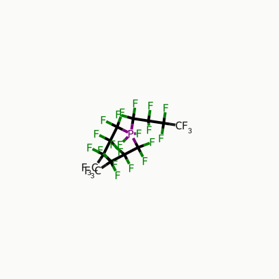 FC(F)(F)C(F)(F)C(F)(F)C(F)(F)P(F)(F)(C(F)(F)C(F)(F)C(F)(F)C(F)(F)F)C(F)(F)C(F)(F)C(F)(F)C(F)(F)F